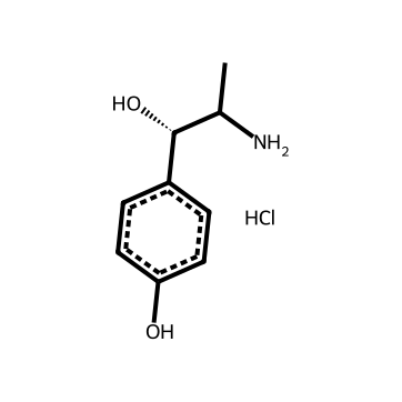 CC(N)[C@@H](O)c1ccc(O)cc1.Cl